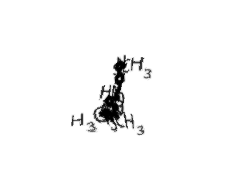 Cc1csc(C(C)C(=O)N2CCCC2C(=O)NCc2ccc(-c3scnc3C)cc2)n1